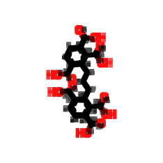 O=C(O)c1ccc(C(=O)O)c(C(=O)O)c1CCCc1c(C(=O)O)ccc(C(=O)O)c1C(=O)O